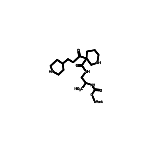 CCCCCOC(=O)NC(CNC(=O)C1(C(=O)CCC2CCNCC2)CCCNC1)C(=O)O